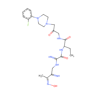 CCC(NC(=O)C(=N)NCC(=N)/C(C)=N\O)C(=O)NCC(=O)CN1CCN(c2ccccc2F)CC1